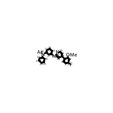 COc1cc(F)ccc1-c1ccnc(Nc2cccc(N(C(C)=O)c3ccccc3)c2)c1